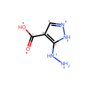 NNc1[nH]ncc1C(=O)O